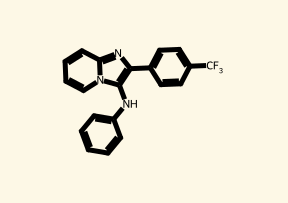 FC(F)(F)c1ccc(-c2nc3ccccn3c2Nc2ccccc2)cc1